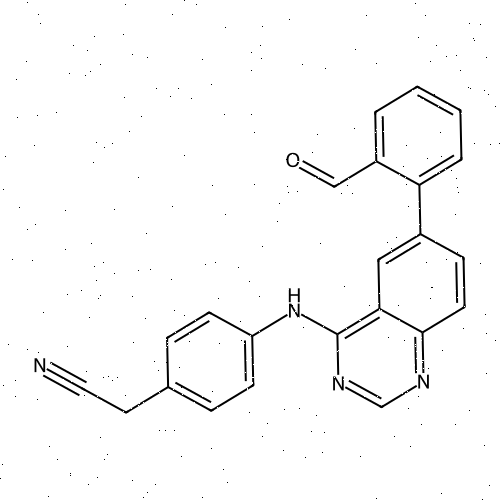 N#CCc1ccc(Nc2ncnc3ccc(-c4ccccc4C=O)cc23)cc1